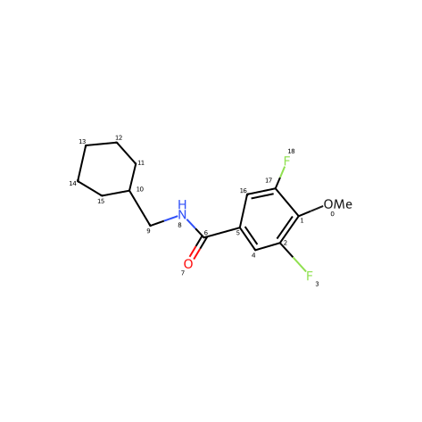 COc1c(F)cc(C(=O)NCC2CCCCC2)cc1F